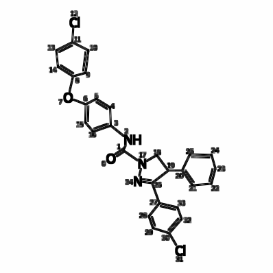 O=C(Nc1ccc(Oc2ccc(Cl)cc2)cc1)N1CC(c2ccccc2)C(c2ccc(Cl)cc2)=N1